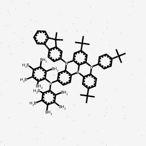 Bc1c(B)c(B)c(N(c2ccc3c(c2)N(c2ccc4c(c2)C(C)(C)c2ccccc2-4)c2cc(C(C)(C)C)cc4c2B3c2cc(C(C)(C)C)ccc2N4c2ccc(C(C)(C)C)cc2)c2c(B)c(B)c(B)c(B)c2B)c(B)c1B